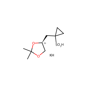 CC1(C)OC[C@H](CC2(S(=O)(=O)O)CC2)O1.[KH]